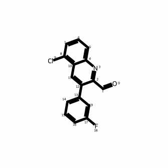 O=Cc1nc2cccc(Cl)c2cc1-c1cccc(F)c1